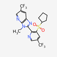 Cn1c(-c2ncc(C(F)(F)F)cc2S(=O)(=O)C2CCCC2)nc2cc(C(F)(F)F)cnc21